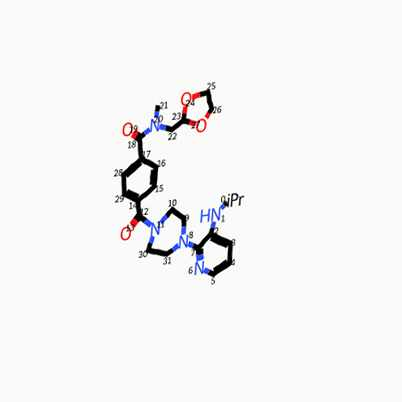 CC(C)Nc1cccnc1N1CCN(C(=O)c2ccc(C(=O)N(C)CC3OCCO3)cc2)CC1